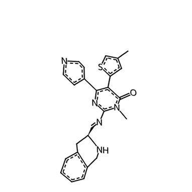 Cc1csc(-c2c(-c3ccncc3)nc(N=C[C@@H]3Cc4ccccc4CN3)n(C)c2=O)c1